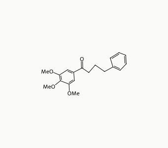 COc1cc(C(=O)CCCc2ccccc2)cc(OC)c1OC